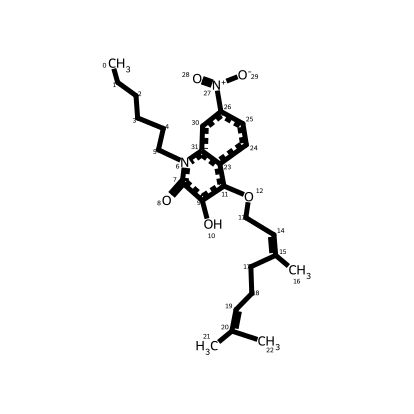 CCCCCCn1c(=O)c(O)c(OCC=C(C)CCC=C(C)C)c2ccc([N+](=O)[O-])cc21